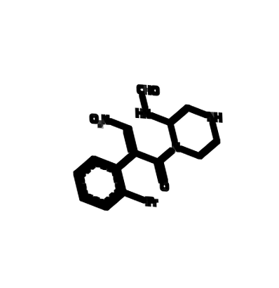 CC(C)c1ccccc1/C(=C\[N+](=O)[O-])C(=O)N1CCNCC1NC=O